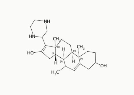 CC1C=C2CC(O)CC[C@]2(C)[C@@H]2CC[C@]3(C)C(C4CNCCN4)=C(O)C[C@H]3[C@H]12